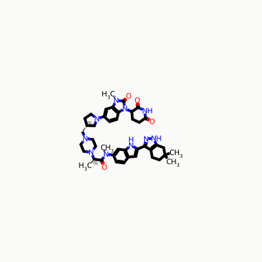 C[C@@H](C(=O)N(C)c1ccc2cc(-c3n[nH]c4c3CCC(C)(C)C4)[nH]c2c1)N1CCN(C[C@@H]2CCN(c3ccc4c(c3)n(C)c(=O)n4C3CCC(=O)NC3=O)C2)CC1